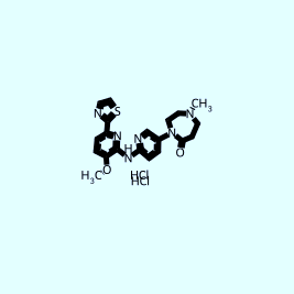 COc1ccc(-c2nccs2)nc1Nc1ccc(N2CCN(C)CCC2=O)cn1.Cl.Cl